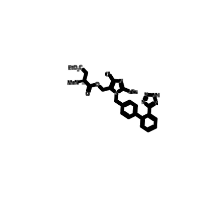 CCCCc1nc(Cl)c(COC(=O)[C@H](CC(=O)OCC)NC)n1Cc1ccc(-c2ccccc2-c2nn[nH]n2)cc1